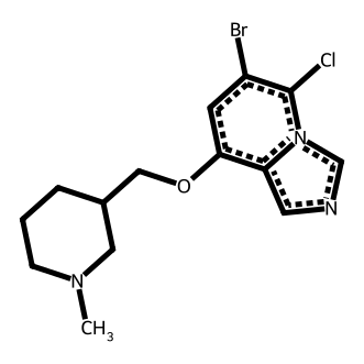 CN1CCCC(COc2cc(Br)c(Cl)n3cncc23)C1